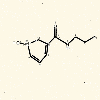 CCCNC(=O)C1=CC=C[NH+]([O-])C1